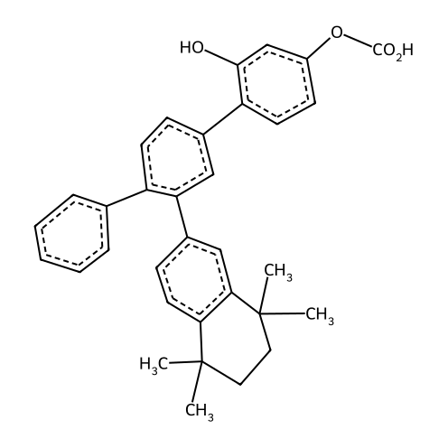 CC1(C)CCC(C)(C)c2cc(-c3cc(-c4ccc(OC(=O)O)cc4O)ccc3-c3ccccc3)ccc21